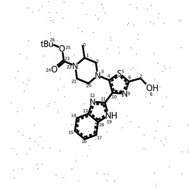 CC1CN(c2sc(CO)nc2-c2nc3ccccc3[nH]2)CCN1C(=O)OC(C)(C)C